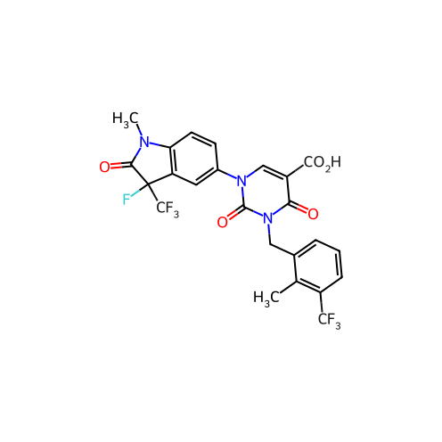 Cc1c(Cn2c(=O)c(C(=O)O)cn(-c3ccc4c(c3)C(F)(C(F)(F)F)C(=O)N4C)c2=O)cccc1C(F)(F)F